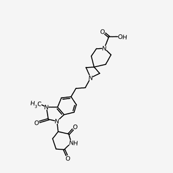 Cn1c(=O)n(C2CCC(=O)NC2=O)c2ccc(CCN3CC4(CCN(C(=O)O)CC4)C3)cc21